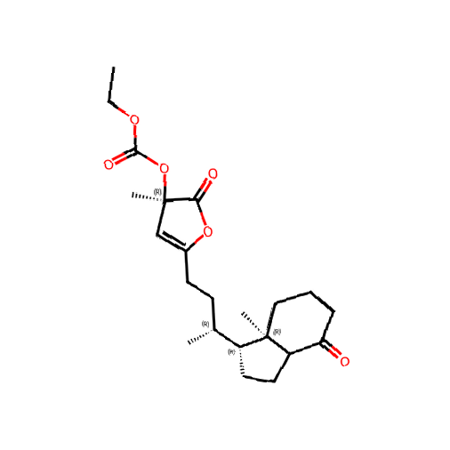 CCOC(=O)O[C@]1(C)C=C(CC[C@@H](C)[C@H]2CCC3C(=O)CCC[C@@]32C)OC1=O